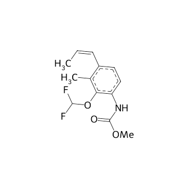 C/C=C\c1ccc(NC(=O)OC)c(OC(F)F)c1C